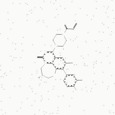 C=CC(=O)N1CCN(c2nc(=O)n3c4c(c(-c5ccc(F)c(Cl)c5)c(C)cc24)SC[C@@H](OC)C3)CC1